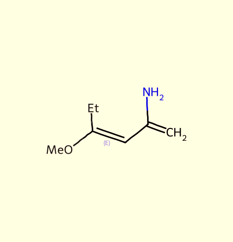 C=C(N)/C=C(\CC)OC